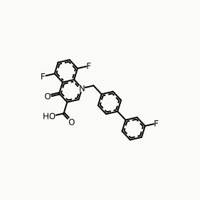 O=C(O)c1cn(Cc2ccc(-c3cccc(F)c3)cc2)c2c(F)ccc(F)c2c1=O